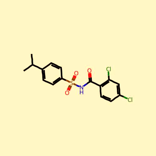 CC(C)c1ccc(S(=O)(=O)NC(=O)c2ccc(Cl)cc2Cl)cc1